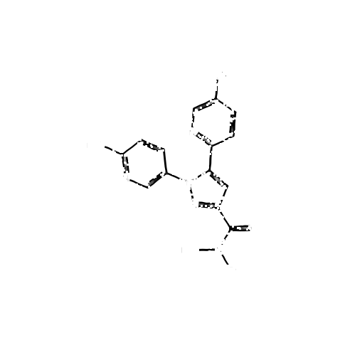 CCN(C)C(=O)c1cc(-c2ccc(C#N)cn2)n(-c2ccc(C)nc2)n1